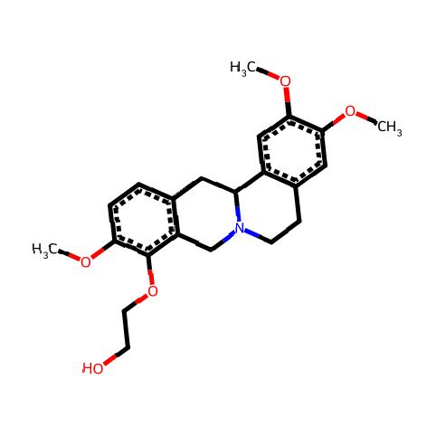 COc1cc2c(cc1OC)C1Cc3ccc(OC)c(OCCO)c3CN1CC2